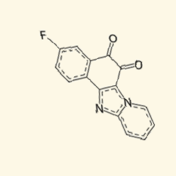 O=C1C(=O)c2c(nc3ccccn23)-c2ccc(F)cc21